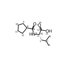 CC(C)C[C@H](NC(=O)C1CCCC1)C(=O)O